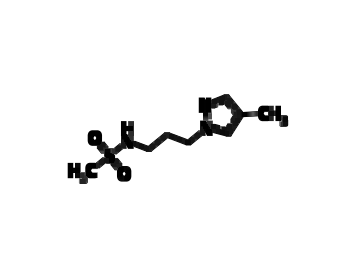 Cc1cnn(CCCNS(C)(=O)=O)c1